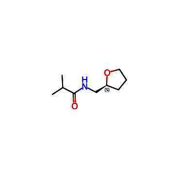 CC(C)C(=O)NC[C@@H]1CCCO1